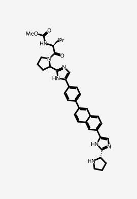 COC(=O)N[C@H](C(=O)N1CCCC1c1ncc(-c2ccc(-c3ccc4cc(-c5cnc([C@@H]6CCCN6)[nH]5)ccc4c3)cc2)[nH]1)C(C)C